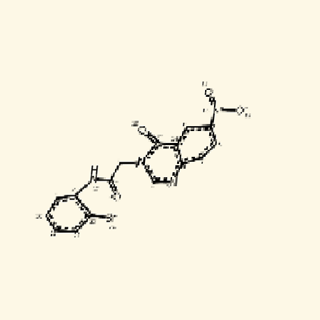 O=C(Cn1cnc2ccc([N+](=O)[O-])cc2c1=O)Nc1ccccc1Br